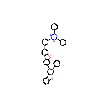 c1ccc(-c2nc(-c3ccccc3)nc(-c3cccc(-c4ccc5c(c4)oc4cc(-c6cc7c(cc6-c6ccccc6)sc6ccccc67)ccc45)c3)n2)cc1